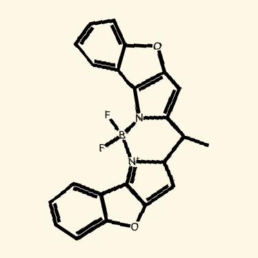 CC1c2cc3oc4ccccc4c3n2[B-](F)(F)[N+]2=c3c(oc4ccccc34)=CC12